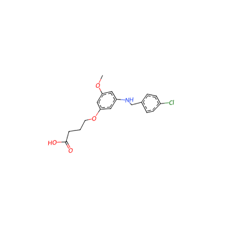 COc1cc(NCc2ccc(Cl)cc2)cc(OCCCC(=O)O)c1